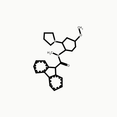 COC1CCC(N(C)C(=O)C2c3ccccc3-c3ccccc32)C(N2CCCC2)C1